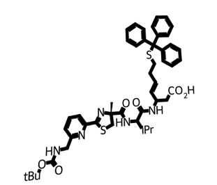 CC(C)C(NC(=O)[C@]1(C)CSC(c2cccc(CNC(=O)OC(C)(C)C)n2)=N1)C(=O)NC(C=CCCSC(c1ccccc1)(c1ccccc1)c1ccccc1)CC(=O)O